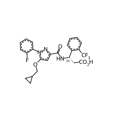 O=C(O)C[C@H](NC(=O)c1cc(OCC2CC2)n(-c2ccccc2F)n1)c1ccccc1C(F)(F)F